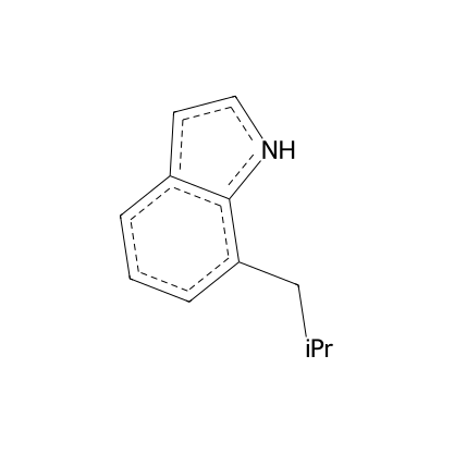 CC(C)Cc1cccc2cc[nH]c12